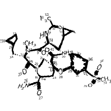 CN(C(=O)[C@H](CC1CC1)NC(=O)C(F)(F)F)[C@@H](CC1CC1)C(=O)N1C[C@@]2(C[C@H]1C(N)=O)Oc1cc(S(C)(=O)=O)ccc1NC2=O